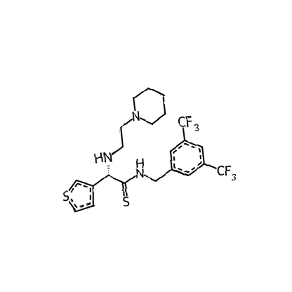 FC(F)(F)c1cc(CNC(=S)[C@@H](NCCN2CCCCC2)c2ccsc2)cc(C(F)(F)F)c1